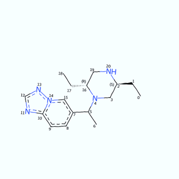 CC[C@H]1CN(C(C)c2ccc3ncnn3c2)[C@H](CC)CN1